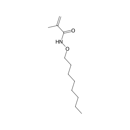 C=C(C)C(=O)NOCCCCCCCC